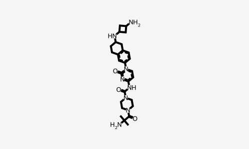 CC(C)(N)C(=O)N1CCN(C(=O)Nc2ccn(-c3ccc4c(c3)CCC(NC3CC(N)C3)C4)c(=O)n2)CC1